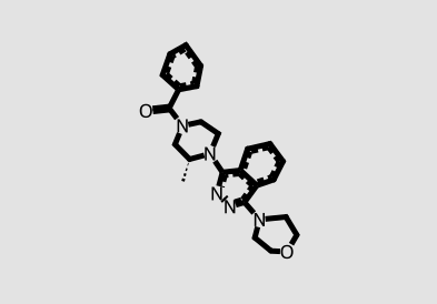 C[C@@H]1CN(C(=O)c2ccccc2)CCN1c1nnc(N2CCOCC2)c2ccccc12